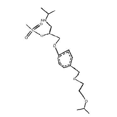 CC(C)NCC(COc1ccc(COCCOC(C)C)cc1)OS(C)(=O)=O